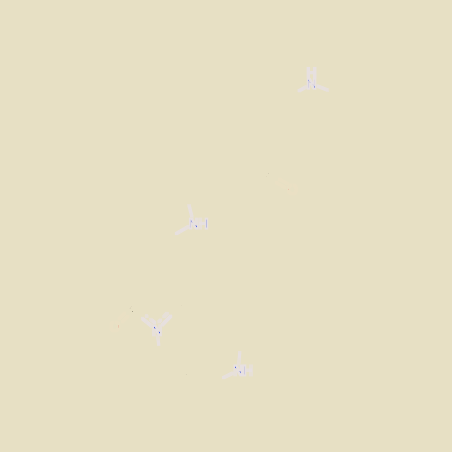 O=C1C=C(CNCc2cc3n(c(=O)c2)CC2CNCC3C2)C=CC1[C@H]1CCCNC1